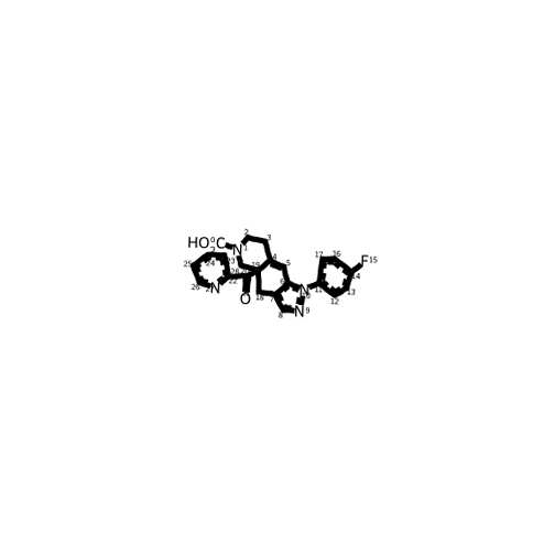 O=C(O)N1CCC2=Cc3c(cnn3-c3ccc(F)cc3)CC2(C(=O)c2ccccn2)C1